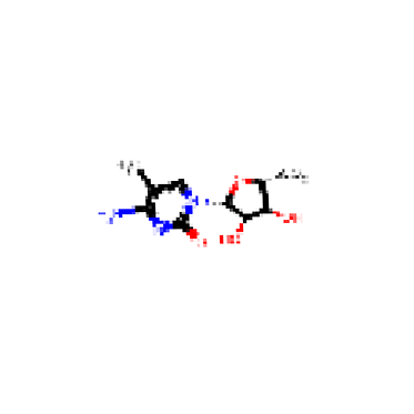 Cc1cn([C@@H]2O[C@H](C(=O)O)[C@@H](O)[C@H]2O)c(=O)nc1N